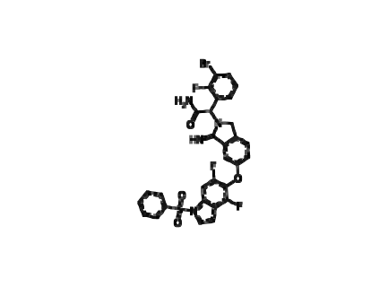 N=C1c2cc(Oc3c(F)cc4c(ccn4S(=O)(=O)c4ccccc4)c3F)ccc2CN1C(C(N)=O)c1cccc(Br)c1F